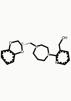 OCc1cccnc1N1CCCN(C[C@H]2COc3ccccc3O2)CC1